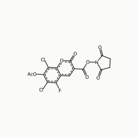 CC(=O)Oc1c(Cl)c(F)c2cc(C(=O)ON3C(=O)CCC3=O)c(=O)oc2c1Cl